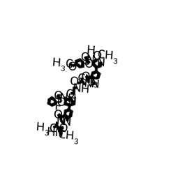 CNC(=O)C(C)Cn1cnc2ccc(-c3cnc(OCCNC(=O)C(C)Cn4cnc5ccc(-c6cnc(OC)c(NS(=O)(=O)c7ccc(OC)cc7)c6)cc5c4=O)c(NS(=O)(=O)c4ccccc4F)c3)cc2c1=O